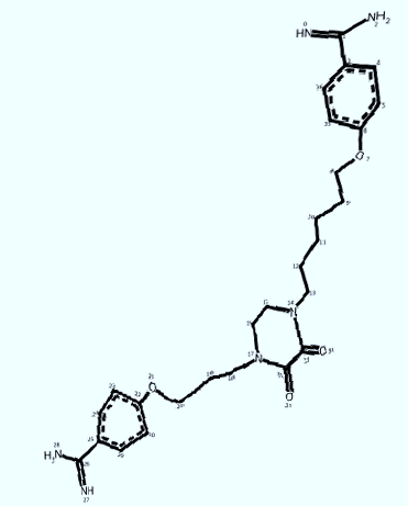 N=C(N)c1ccc(OCCCCCCN2CCN(CCCOc3ccc(C(=N)N)cc3)C(=O)C2=O)cc1